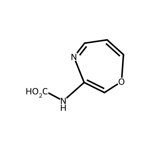 O=C(O)NC1=COC=CC=N1